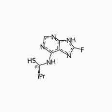 CC(C)[C@@H](S)Nc1ncnc2[nH]c(F)nc12